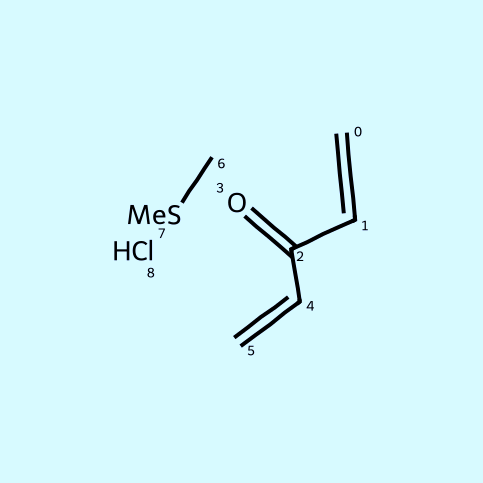 C=CC(=O)C=C.CSC.Cl